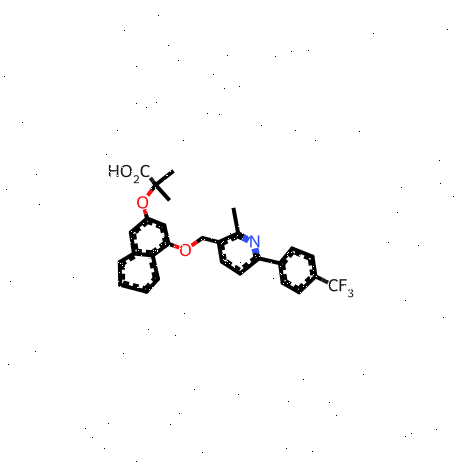 Cc1nc(-c2ccc(C(F)(F)F)cc2)ccc1COc1cc(OC(C)(C)C(=O)O)cc2ccccc12